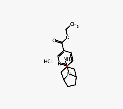 CCOC(=O)c1ccc(N2C3CCC2CC(N)C3)nc1.Cl